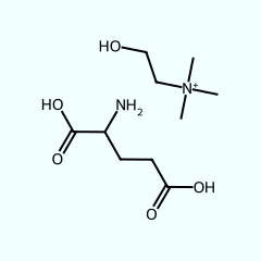 C[N+](C)(C)CCO.NC(CCC(=O)O)C(=O)O